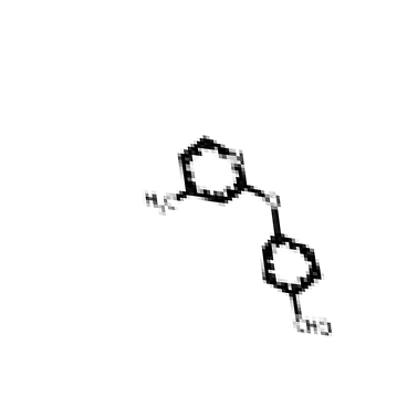 Cc1ccnc(Oc2ccc(C=O)cc2)c1